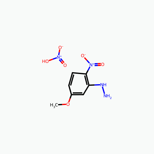 COc1ccc([N+](=O)[O-])c(NN)c1.O=[N+]([O-])O